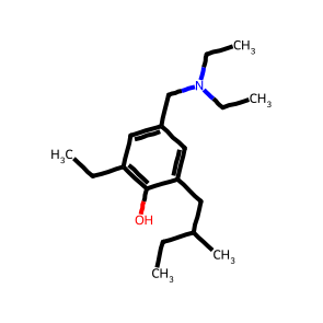 CCc1cc(CN(CC)CC)cc(CC(C)CC)c1O